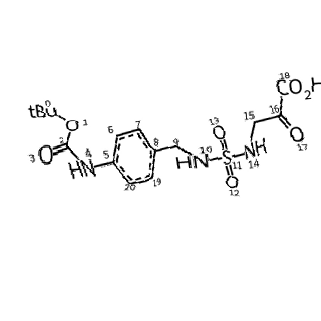 CC(C)(C)OC(=O)Nc1ccc(CNS(=O)(=O)NCC(=O)C(=O)O)cc1